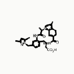 CNC(=O)C1=Cc2c(c(C)cn2C(C)C(=O)Nc2cc(Cn3nc(C)cc3C)ccc2CCCC(=O)O)CC1